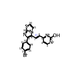 Oc1nccc(/C=C/c2c(-c3ccc(Br)cc3)nc3sccn23)n1